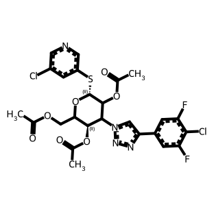 CC(=O)OCC1O[C@H](Sc2cncc(Cl)c2)C(OC(C)=O)C(n2cc(-c3cc(F)c(Cl)c(F)c3)nn2)[C@H]1OC(C)=O